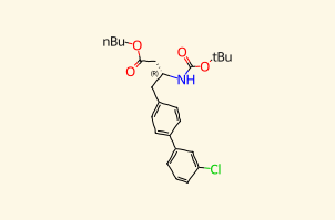 CCCCOC(=O)C[C@@H](Cc1ccc(-c2cccc(Cl)c2)cc1)NC(=O)OC(C)(C)C